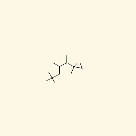 CC(CC(Cl)(Cl)Cl)C(C)C1(C)CO1